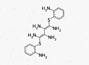 N/C(Sc1ccccc1N)=C(N)\C(N)=C(/N)Sc1ccccc1N